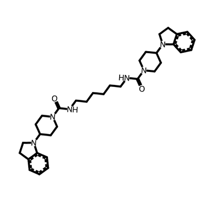 O=C(NCCCCCCNC(=O)N1CCC(N2CCc3ccccc32)CC1)N1CCC(N2CCc3ccccc32)CC1